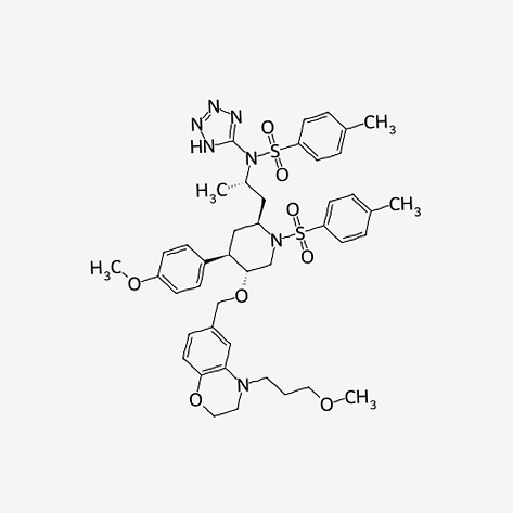 COCCCN1CCOc2ccc(CO[C@H]3CN(S(=O)(=O)c4ccc(C)cc4)[C@H](C[C@H](C)N(c4nnn[nH]4)S(=O)(=O)c4ccc(C)cc4)C[C@@H]3c3ccc(OC)cc3)cc21